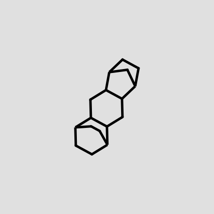 C1CC2CCC1C1CC3C4CCC(C4)C3CC21